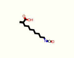 C=C(CCCCCCCCN=C=O)C(=O)O